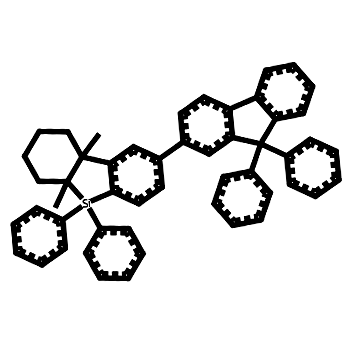 CC12CCCCC1(C)[Si](c1ccccc1)(c1ccccc1)c1ccc(-c3ccc4c(c3)C(c3ccccc3)(c3ccccc3)c3ccccc3-4)cc12